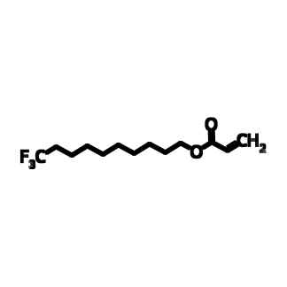 C=CC(=O)OCCCCCCCCCC(F)(F)F